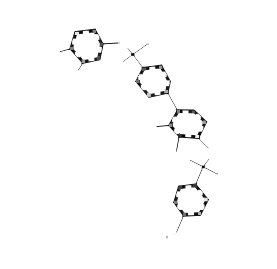 CCCc1ccc(C(F)(F)Oc2ccc(-c3ccc(C(F)(F)Oc4ccc(F)c(F)c4)cc3)c(F)c2F)cc1